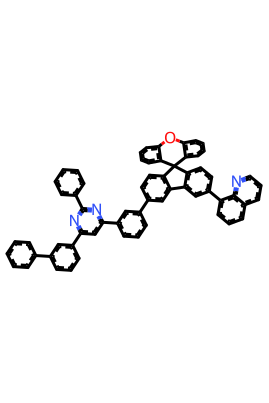 c1ccc(-c2cccc(-c3cc(-c4cccc(-c5ccc6c(c5)-c5cc(-c7cccc8cccnc78)ccc5C65c6ccccc6Oc6ccccc65)c4)nc(-c4ccccc4)n3)c2)cc1